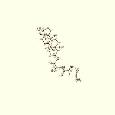 CCC(C)[C@H](NC(=O)[C@@H](N)CC(N)=O)C(=O)O[C@@H]1CC[C@@]2(C)[C@@H](CC[C@@H]3[C@@H]2CC[C@]2(C)[C@@H](C(C)=O)CC[C@@H]32)C1